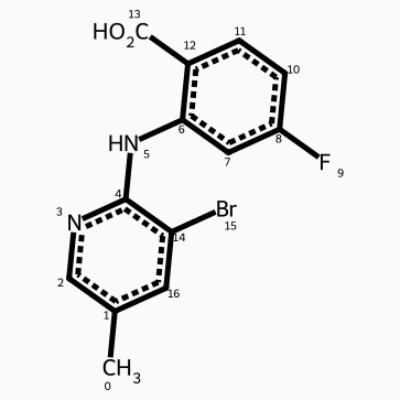 Cc1cnc(Nc2cc(F)ccc2C(=O)O)c(Br)c1